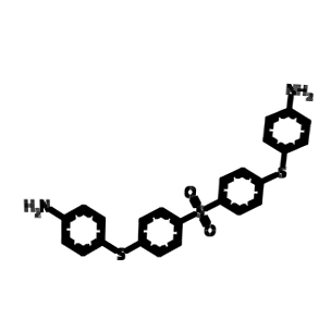 Nc1ccc(Sc2ccc(S(=O)(=O)c3ccc(Sc4ccc(N)cc4)cc3)cc2)cc1